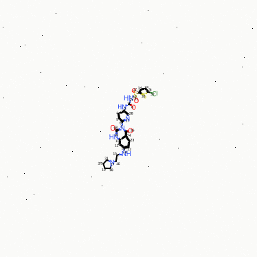 O=C(Nc1ccc(-n2c(=O)[nH]c3cc(NCCN4CCCC4)ccc3c2=O)nc1)NS(=O)(=O)c1ccc(Cl)s1